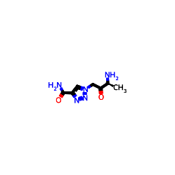 C[C@H](N)C(=O)Cn1cc(C(N)=O)nn1